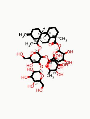 C=C1CC[C@@H]2[C@]([C@@H](C)O[C@@H]3OC(CO)[C@@H](O)C(O[C@@H]4OC(CO)[C@@H](O)C(O)C4O)C3O[C@@H]3OC(C)[C@H](O)C(O)C3O)(CCC3[C@](C)(C(=O)O[C@@H]4OC(CO)[C@@H](O)C(O)C4O)CCC[C@]32C)C1